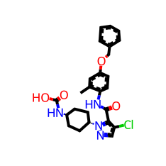 Cc1cc(OCc2ccccc2)ccc1NC(=O)c1c(Cl)cnn1[C@H]1CC[C@@H](NC(=O)O)CC1